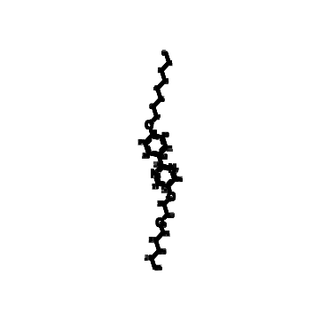 CCCCCCCCOc1ccc(-c2ncc(OCCOCCCCC)cn2)cc1